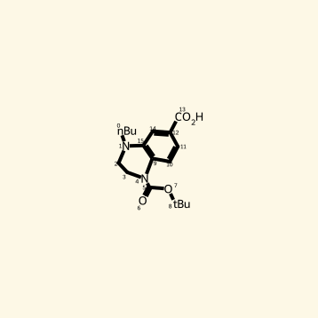 CCCCN1CCN(C(=O)OC(C)(C)C)c2ccc(C(=O)O)cc21